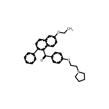 CCOc1ccc2c(C(=O)c3ccc(OCCN4CCCC4)cc3)c(-c3ccccc3)ccc2c1